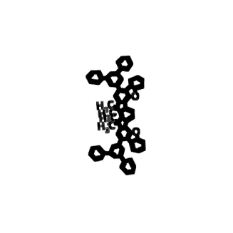 CC1(C)c2cc(-c3cc(-c4ccccc4)cc(-c4ccccc4)c3)c3c(oc4ccccc43)c2-c2ccc3c(c21)C(C)(C)c1cc(-c2cc(-c4ccccc4)cc(-c4ccccc4)c2)c2c(oc4ccccc42)c1-3